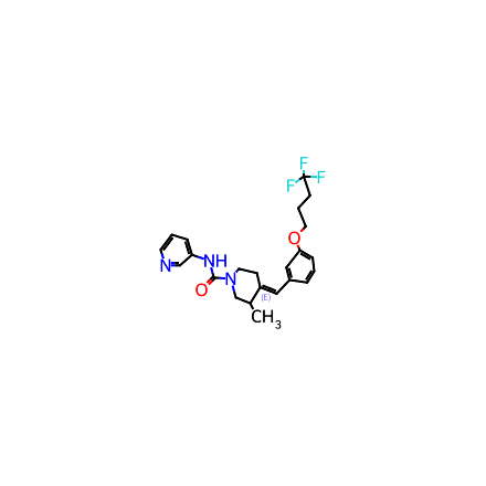 CC1CN(C(=O)Nc2cccnc2)CC/C1=C\c1cccc(OCCCC(F)(F)F)c1